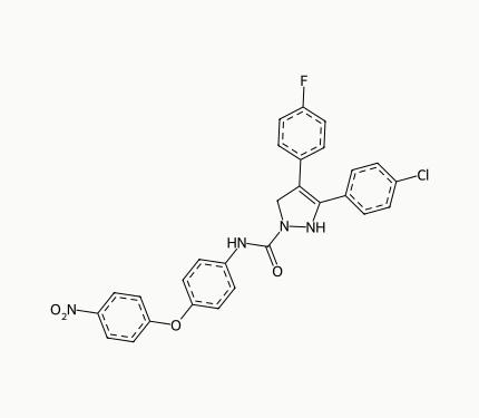 O=C(Nc1ccc(Oc2ccc([N+](=O)[O-])cc2)cc1)N1CC(c2ccc(F)cc2)=C(c2ccc(Cl)cc2)N1